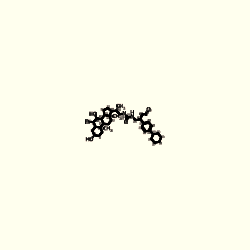 CC[C@@H]1C2C[C@H](O)CC[C@]2(C)C2CC[C@@]3(C)C(CCC3[C@H](C)CNC(=O)NCC(CP=O)c3ccc(C4CCCCC4)cc3)C2[C@@H]1O